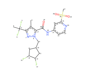 Cc1c(C(C)(F)F)nn(CC2CC(F)C(F)C2)c1C(=O)Nc1ccnc(S(C)(=O)=O)c1